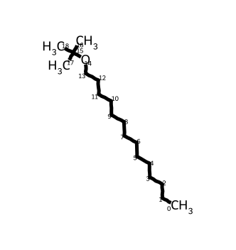 CCCCCCCCCCCCCCOC(C)(C)C